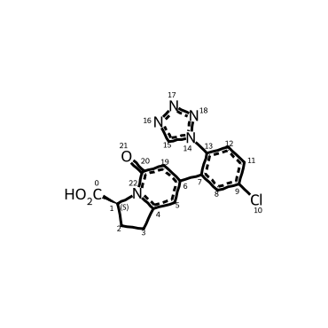 O=C(O)[C@@H]1CCc2cc(-c3cc(Cl)ccc3-n3cnnn3)cc(=O)n21